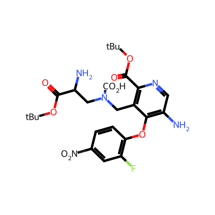 CC(C)(C)OC(=O)c1ncc(N)c(Oc2ccc([N+](=O)[O-])cc2F)c1CN(CC(N)C(=O)OC(C)(C)C)C(=O)O